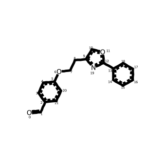 O=Cc1ccc(OCCc2coc(-c3ccccc3)n2)cc1